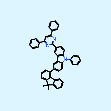 CC1(C)c2ccccc2-c2c(-c3ccc4c(c3)c3cc(-c5nc(-c6ccccc6)cc(-c6ccccc6)n5)ccc3n4-c3ccccc3)cccc21